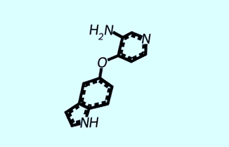 Nc1cnccc1Oc1ccc2[nH]ccc2c1